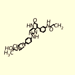 C=CC(=O)Nc1cccc(-c2cc(=O)[nH]c3cnc(Nc4ccc(N5CCN(CC(C)(C)O)CC5)cc4)nc23)c1